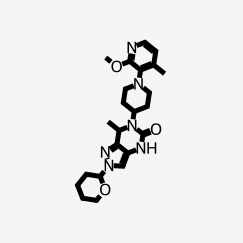 COc1nccc(C)c1N1CCC(N2C(=O)Nc3cn(C4CCCCO4)nc3C2C)CC1